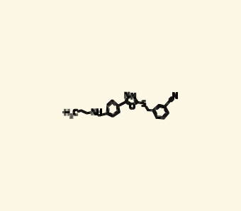 [CH2]CCNCc1ccc(-c2nnc(SCc3cccc(C#N)c3)o2)cc1